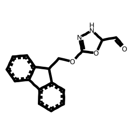 O=CC1NN=C(OCC2c3ccccc3-c3ccccc32)O1